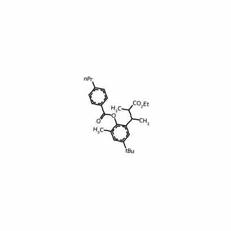 CCCc1ccc(C(=O)Oc2c(C)cc(C(C)(C)C)cc2C(C)C(C)C(=O)OCC)cc1